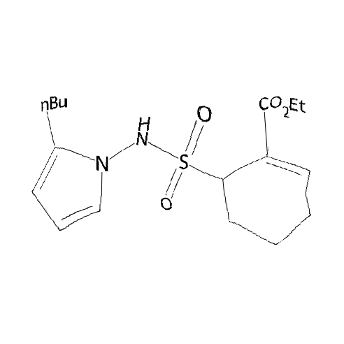 CCCCc1cccn1NS(=O)(=O)C1CCCC=C1C(=O)OCC